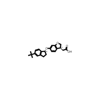 CC(C)(C)c1ccc2c(c1)CC[C@H]2Oc1ccc2c(c1)OC[C@H]2CC(=O)O